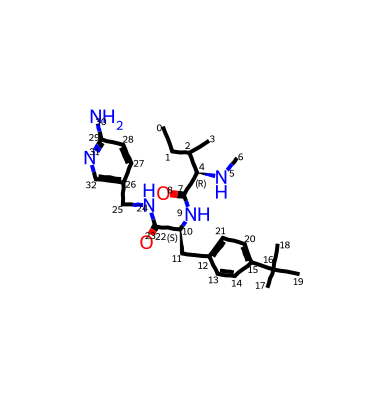 CCC(C)[C@@H](NC)C(=O)N[C@@H](Cc1ccc(C(C)(C)C)cc1)C(=O)NCc1ccc(N)nc1